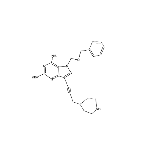 CCCCc1nc(N)c2c(n1)c(C#CCC1CCNCC1)cn2COCc1ccccc1